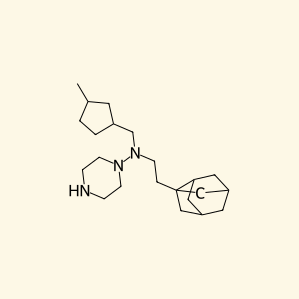 CC1CCC(CN(CCC23CC4CC(CC2C4)C3)N2CCNCC2)C1